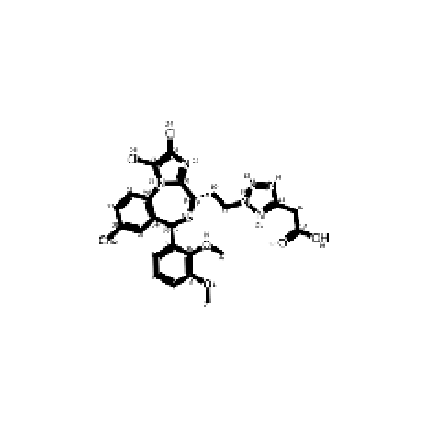 COc1cccc([C@@H]2S[C@@H](CCn3nnc(CC(=O)O)n3)c3nc(Cl)c(Cl)n3-c3ccc(Cl)cc32)c1OC